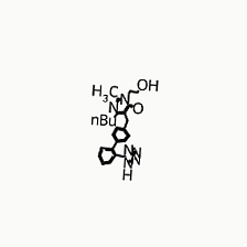 CCCCc1nc(C)n(CCO)c(=O)c1Cc1ccc(-c2ccccc2-c2nnn[nH]2)cc1